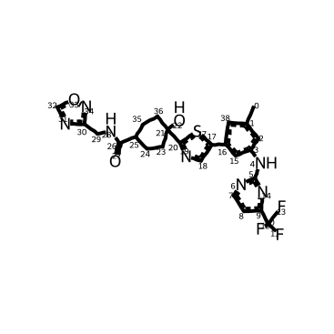 Cc1cc(Nc2nccc(C(F)(F)F)n2)cc(-c2cnc(C3(O)CCC(C(=O)NCc4ncon4)CC3)s2)c1